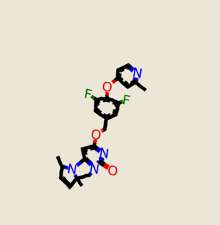 Cc1cc(Oc2c(F)cc(COc3cc4n(c(=O)n3)CC3(C)C=CC(C)N43)cc2F)ccn1